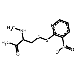 CNC(CSSc1ncccc1[N+](=O)[O-])C(C)=O